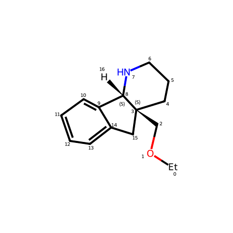 CCOC[C@]12CCCN[C@H]1c1ccccc1C2